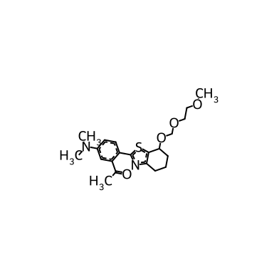 COCCOCOC1CCCc2nc(-c3ccc(N(C)C)cc3C(C)=O)sc21